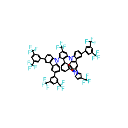 N#Cc1cccc(-c2c(-n3c4ccc(C5=CC(C(F)(F)F)=CC5)cc4c4cc(-c5cc(C(F)(F)F)cc(C(F)(F)F)c5)ccc43)cc(C(F)(F)F)cc2-n2c3ccc(-c4cc(C(F)(F)F)cc(C(F)(F)F)c4)cc3c3cc(-c4cc(C(F)(F)F)cc(C(F)(F)F)c4)ccc32)c1